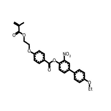 C=C(C)C(=O)OCCOc1ccc(C(=O)Oc2ccc(-c3ccc(OCC)cc3)cc2[N+](=O)[O-])cc1